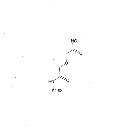 CCCCCCNC(=O)COCC(=O)N=O